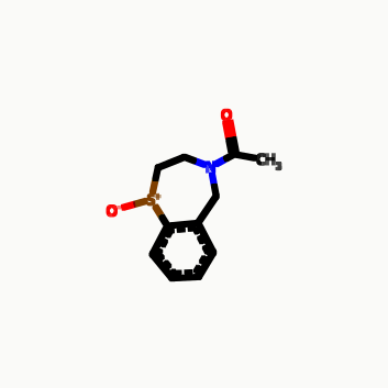 CC(=O)N1CC[S+]([O-])c2ccccc2C1